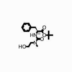 CN(CCO)C(=O)N[C@@H](Cc1ccccc1)C(=O)OC(C)(C)C